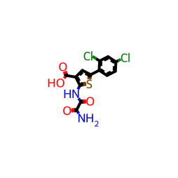 NC(=O)C(=O)Nc1sc(-c2ccc(Cl)cc2Cl)cc1C(=O)O